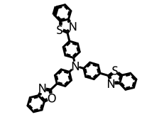 c1ccc2nc(-c3ccc(N(c4ccc(-c5nc6ccccc6o5)cc4)c4ccc(-c5nc6ccccc6s5)cc4)cc3)sc2c#1